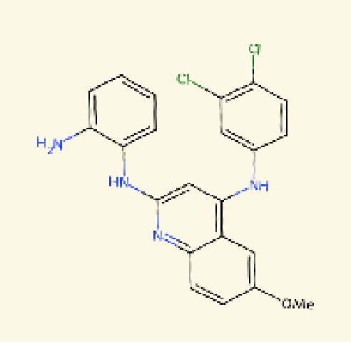 COc1ccc2nc(Nc3ccccc3N)cc(Nc3ccc(Cl)c(Cl)c3)c2c1